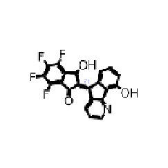 O=C1/C(=C2\c3cccnc3-c3c(O)cccc32)C(O)c2c(F)c(F)c(F)c(F)c21